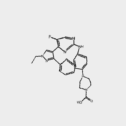 CCn1cc(-c2nc(Nc3ccc(N4CCN(C(=O)O)CC4)cc3)ncc2F)c(-c2cccnc2)n1